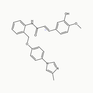 COc1ccc(/C=C/C(=O)Nc2ccccc2COc2ccc(-n3cnc(C)c3)cc2)cc1O